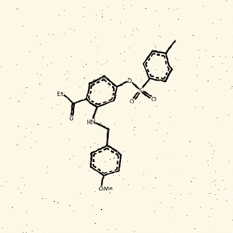 CCC(=O)c1ccc(OS(=O)(=O)c2ccc(C)cc2)cc1NCc1ccc(OC)cc1